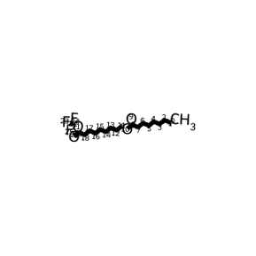 CCCCCCCCC(=O)OCCCCCCCCC(=O)OC(F)(F)F